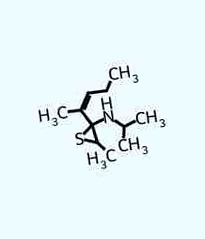 CC/C=C(/C)C1(NC(C)C)SC1C